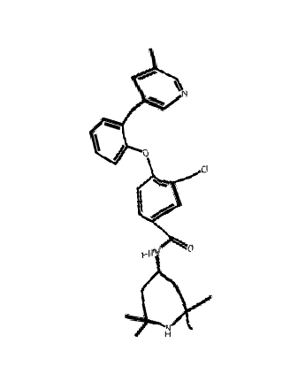 Cc1cncc(-c2ccccc2Oc2ccc(C(=O)NC3CC(C)(C)NC(C)(C)C3)cc2Cl)c1